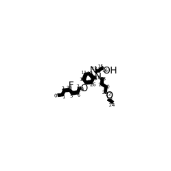 CC/C=C(F)\C=C/COc1ccc2nc(CO)n(CCCCOCC)c2c1